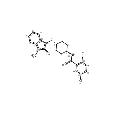 Cn1c(=O)n(C[C@H]2CC[C@H](NC(=O)c3cc(Cl)ccc3Cl)CC2)c2ccccc21